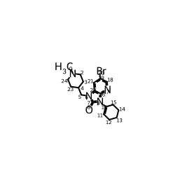 CN1CCC(Cn2c(=O)n(C3=CCCCC3)c3ncc(Br)cc32)CC1